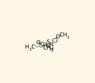 CCCC1CC(C)(c2csc(Nc3ccc(OCC)cc3)n2)OC1=O